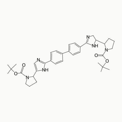 CC(C)(C)OC(=O)N1CCCC1c1cnc(-c2ccc(-c3ccc(C4=NCC(C5CCCN5C(=O)OC(C)(C)C)N4)cc3)cc2)[nH]1